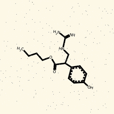 CCCCOC(=O)C(CNC(=N)N)c1ccc(O)cc1